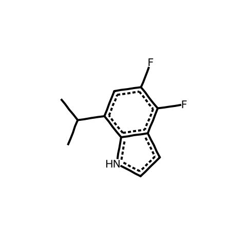 CC(C)c1cc(F)c(F)c2cc[nH]c12